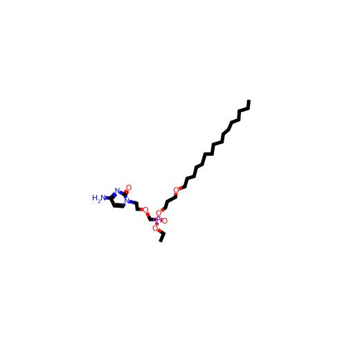 CCCCCCCCCCCCCCCCOCCCOP(=O)(COCCn1ccc(N)nc1=O)OCC